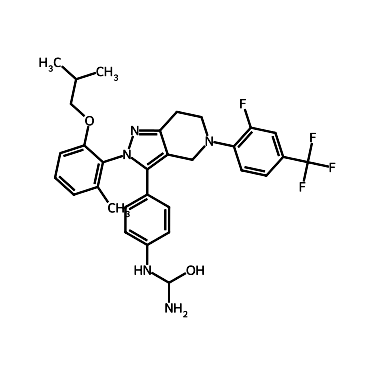 Cc1cccc(OCC(C)C)c1-n1nc2c(c1-c1ccc(NC(N)O)cc1)CN(c1ccc(C(F)(F)F)cc1F)CC2